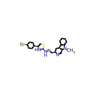 Cn1c2ccccc2c2cc(C=NNC3NC(c4ccc(Br)cc4)=CS3)ncc21